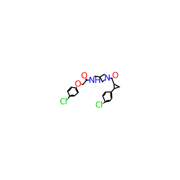 O=C(COc1ccc(Cl)cc1)NCC1CN(C(=O)C2CC2c2ccc(Cl)cc2)C1